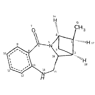 C[C@H]1[C@@H]2C[C@H]1N1C(=O)c3ccccc3NCC21